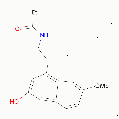 CCC(=O)NCCc1cc(O)cc2ccc(OC)cc12